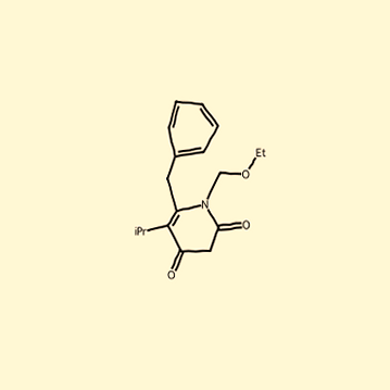 CCOCN1C(=O)CC(=O)C(C(C)C)=C1Cc1ccccc1